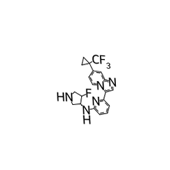 FC1CNC[C@@H]1Nc1cccc(-c2cnc3cc(C4(C(F)(F)F)CC4)ccn23)n1